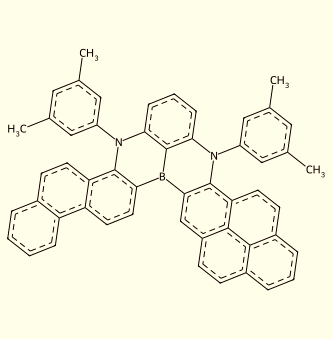 Cc1cc(C)cc(N2c3cccc4c3B(c3ccc5c(ccc6ccccc65)c32)c2cc3ccc5cccc6ccc(c2N4c2cc(C)cc(C)c2)c3c56)c1